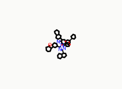 c1ccc(-c2ccc(-c3nc(-c4cc5c(cc4-n4c6cc7ccccc7cc6c6cc7ccccc7cc64)oc4ccccc45)nc(-c4cccc5ccccc45)n3)cc2)cc1